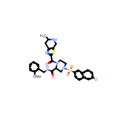 COc1ccccc1CNC(=O)C1CN(S(=O)(=O)c2ccc3cc(Cl)ccc3c2)CCN1C(=O)c1nc2c(s1)CNC(C)C2